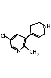 Cc1ncc(Cl)cc1C1=CCNCC1